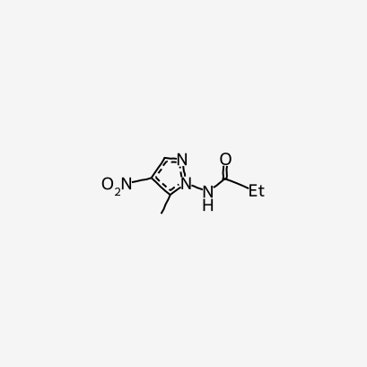 CCC(=O)Nn1ncc([N+](=O)[O-])c1C